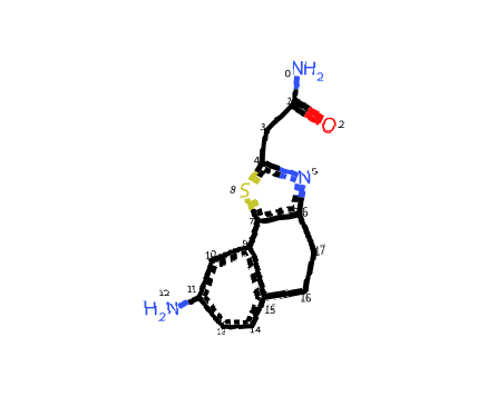 NC(=O)Cc1nc2c(s1)-c1cc(N)ccc1CC2